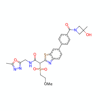 COCCS(=O)(=O)C(C(=O)NCc1nnc(C)o1)c1nc2ccc(-c3ccc(C(=O)N4CC(C)(O)C4)cc3)cc2s1